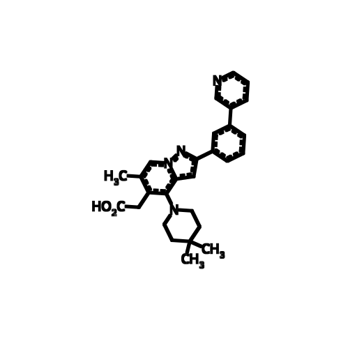 Cc1cn2nc(-c3cccc(-c4cccnc4)c3)cc2c(N2CCC(C)(C)CC2)c1CC(=O)O